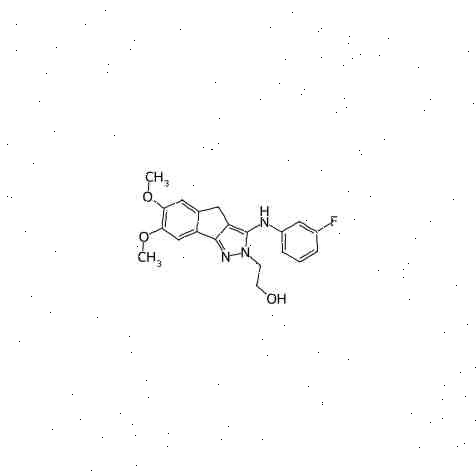 COc1cc2c(cc1OC)-c1nn(CCO)c(Nc3cccc(F)c3)c1C2